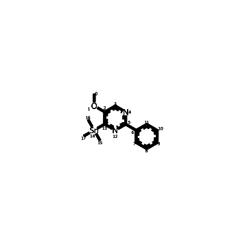 COc1cnc(-c2ccccc2)n[c]1[Sn]([CH3])([CH3])[CH3]